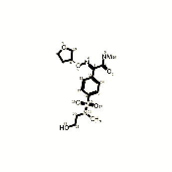 CNC(=O)/C(=N/O[C@@H]1CCOC1)c1ccc(S(=O)(=O)N(C)CCO)cc1